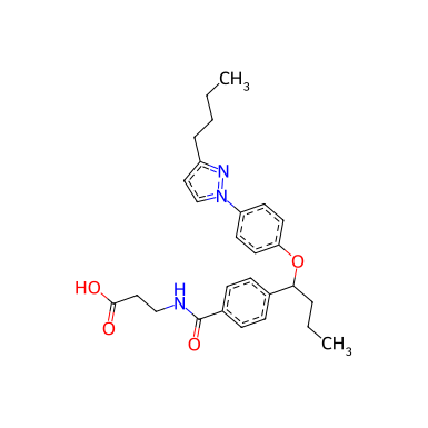 CCCCc1ccn(-c2ccc(OC(CCC)c3ccc(C(=O)NCCC(=O)O)cc3)cc2)n1